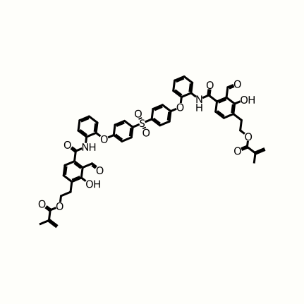 C=C(C)C(=O)OCCc1ccc(C(=O)Nc2ccccc2Oc2ccc(S(=O)(=O)c3ccc(Oc4ccccc4NC(=O)c4ccc(CCOC(=O)C(=C)C)c(O)c4C=O)cc3)cc2)c(C=O)c1O